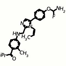 C/C=C\n1c(-c2ccc(OC(N)F)cc2)cnc1CNc1ccc(C(=O)C(C)C)c(C)c1